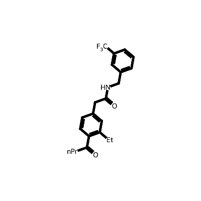 CCCC(=O)c1ccc(CC(=O)NCc2cccc(C(F)(F)F)c2)cc1CC